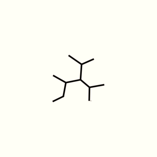 [CH2]C(C)C(C(C)C)C(C)CC